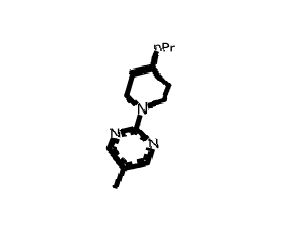 CCCC1CCN(c2ncc(C)cn2)CC1